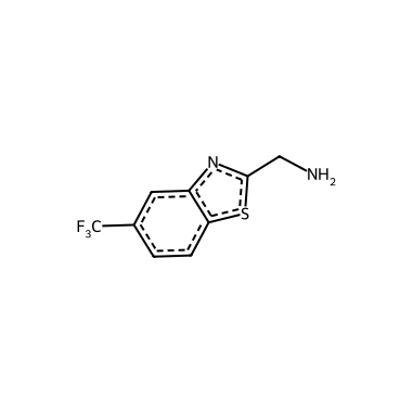 NCc1nc2cc(C(F)(F)F)ccc2s1